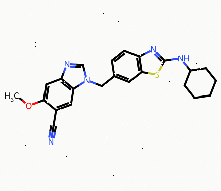 COc1cc2ncn(Cc3ccc4nc(NC5CCCCC5)sc4c3)c2cc1C#N